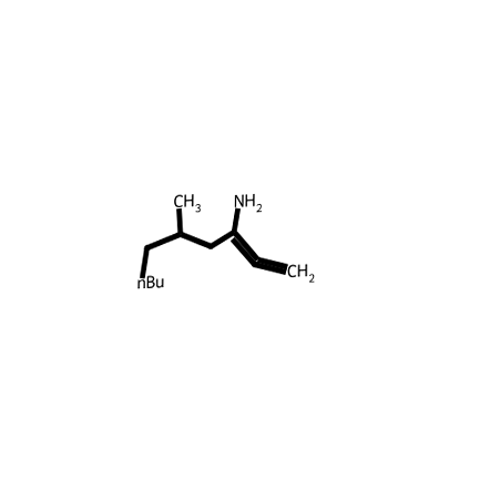 C=C=C(N)CC(C)CCCCC